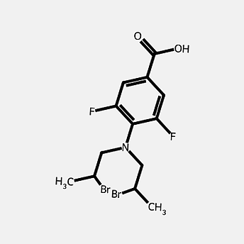 CC(Br)CN(CC(C)Br)c1c(F)cc(C(=O)O)cc1F